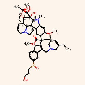 CCC1=C[C@H]2CN(C1)CC1=C(Cc3ccc([S+]([O-])CCCO)cc31)[C@@](C(=O)OC)(C1C=C3C(=CC1OC)N(C)[C@H]1[C@@](O)(C(=O)OC)[C@H](OC(C)=O)[C@]4(CC)C=CCN5CC[C@]31[C@@H]54)C2